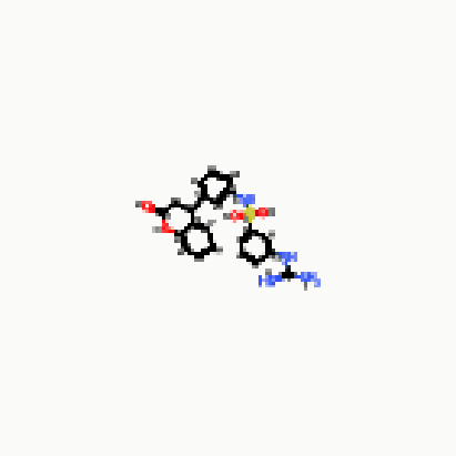 N=C(N)Nc1cccc(S(=O)(=O)Nc2cccc(C3CC(=O)Oc4ccccc43)c2)c1